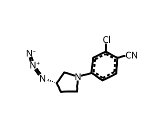 N#Cc1ccc(N2CC[C@H](N=[N+]=[N-])C2)cc1Cl